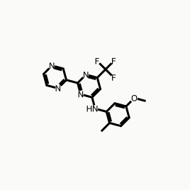 COc1ccc(C)c(Nc2cc(C(F)(F)F)nc(-c3cnccn3)n2)c1